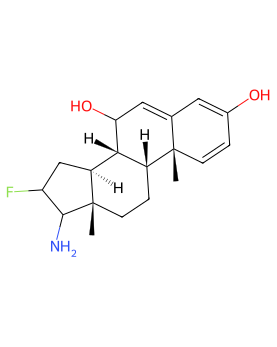 C[C@]12C=CC(O)=CC1=CC(O)[C@@H]1[C@H]2CC[C@]2(C)C(N)C(F)C[C@@H]12